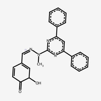 CN(/N=C\C1=CC(O)C(=O)C=C1)c1nc(-c2ccccc2)cc(-c2ccccc2)n1